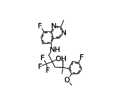 COc1ccc(F)cc1C(C)(C)CC(O)(CNc1ccc(F)c2nc(C)ncc12)C(F)(F)F